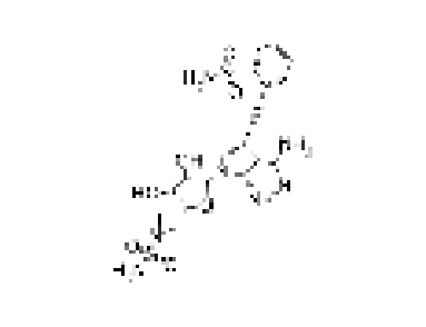 Nc1ncnc2c1c(C#Cc1ccccc1S(N)(=O)=O)cn2[C@@H]1O[C@H](CNS(N)(=O)=O)[C@@H](O)[C@H]1O